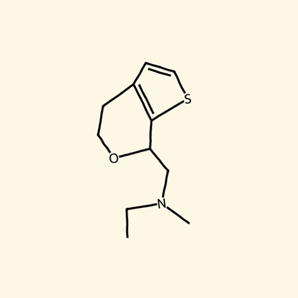 CCN(C)CC1OCCc2ccsc21